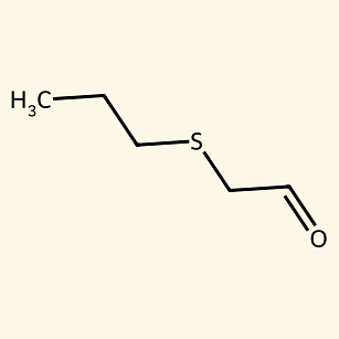 CCCSCC=O